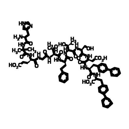 C[C@@H](O)[C@H](NC(=O)CNC(=O)[C@H](CCC(=O)O)NC(=O)C(C)(C)NC(=O)[C@@H](N)Cc1c[nH]cn1)C(=O)N[C@@H](CCc1ccccc1)C(=O)N[C@H](C(=O)N[C@@H](CO)C(=O)N[C@@H](CC(=O)O)C(=O)N[C@@H](Cc1ccc(-c2ccccc2)cc1)C(=O)N[C@@H](Cc1ccc(-c2ccccc2)cc1)C(=O)O)[C@@H](C)O